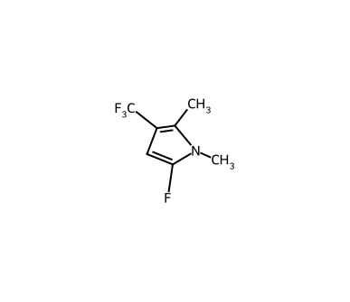 Cc1c(C(F)(F)F)cc(F)n1C